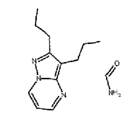 CCCc1nn2cccnc2c1CCC.NC=O